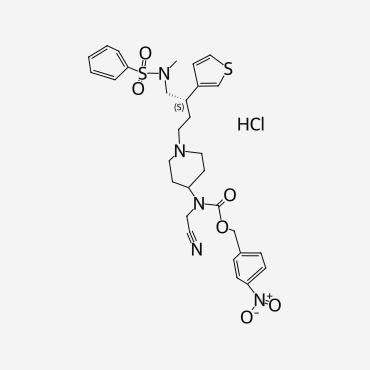 CN(C[C@@H](CCN1CCC(N(CC#N)C(=O)OCc2ccc([N+](=O)[O-])cc2)CC1)c1ccsc1)S(=O)(=O)c1ccccc1.Cl